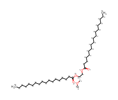 [2H]OC[C@@H](COC(=O)CCCCCCCCCCCCCCCCC)OC(=O)CCCCCCCCCCCCCCCCC